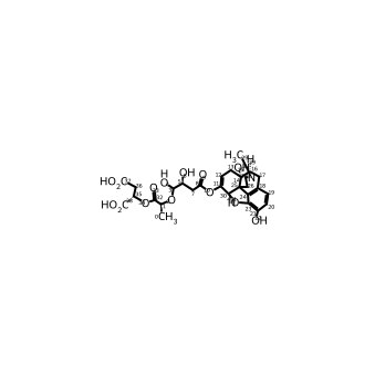 C[C@H](OC(O)[C@@H](O)CC(=O)OC1=CC[C@@]2(O)[C@H]3Cc4ccc(O)c5c4C2(CCN3C)[C@H]1O5)C(=O)O[C@@H](CC(=O)O)C(=O)O